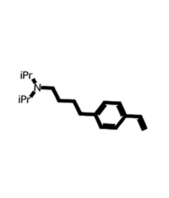 C=Cc1ccc(CCCCN(C(C)C)C(C)C)cc1